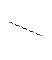 [CH2]CCCCCCCC/C=C/CCCCCCCCCC